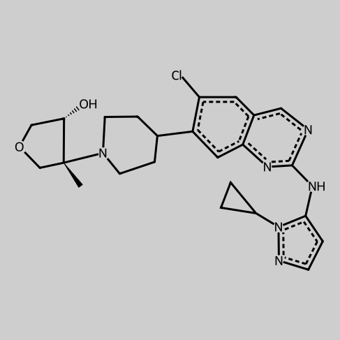 C[C@@]1(N2CCC(c3cc4nc(Nc5ccnn5C5CC5)ncc4cc3Cl)CC2)COC[C@@H]1O